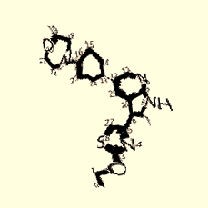 CCOc1nc(C2CNc3ncc([C@H]4CC[C@H](N5CCOCC5)CC4)cc32)cs1